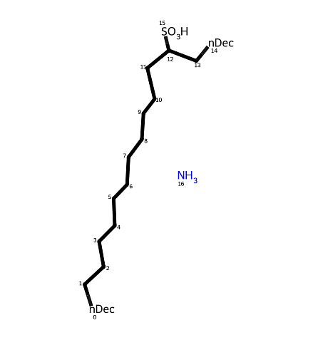 CCCCCCCCCCCCCCCCCCCCCC(CCCCCCCCCCC)S(=O)(=O)O.N